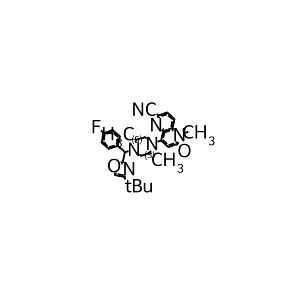 C[C@H]1CN(C(c2ccc(F)cc2)c2nc(C(C)(C)C)co2)[C@@H](C)CN1c1cc(=O)n(C)c2ccc(C#N)nc12